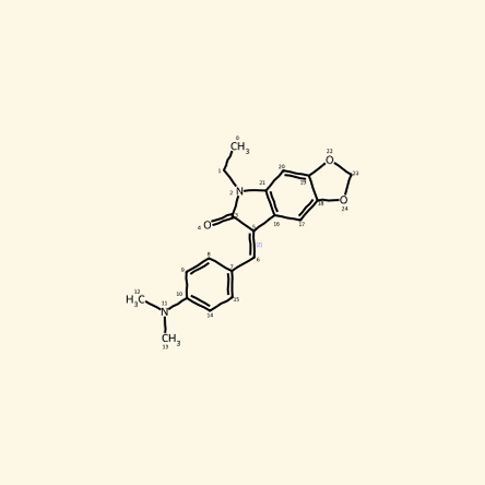 CCN1C(=O)/C(=C\c2ccc(N(C)C)cc2)c2cc3c(cc21)OCO3